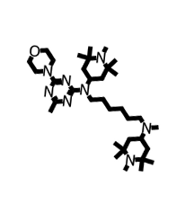 Cc1nc(N2CCOCC2)nc(N(CCCCCCN(C)C2CC(C)(C)N(C)C(C)(C)C2)C2CC(C)(C)N(C)C(C)(C)C2)n1